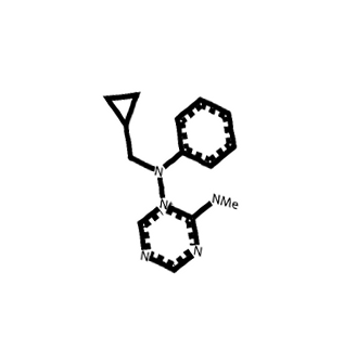 CNc1ncnc[n+]1N(CC1CC1)c1ccccc1